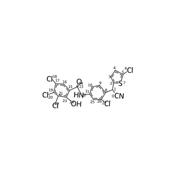 N#CC(c1ccc(Cl)s1)c1ccc(NC(=O)c2cc(Cl)c(Cl)c(Cl)c2O)cc1Cl